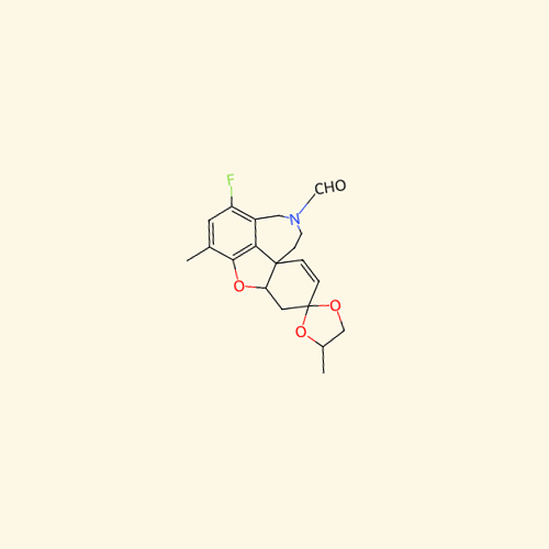 Cc1cc(F)c2c3c1OC1CC4(C=CC31CCN(C=O)C2)OCC(C)O4